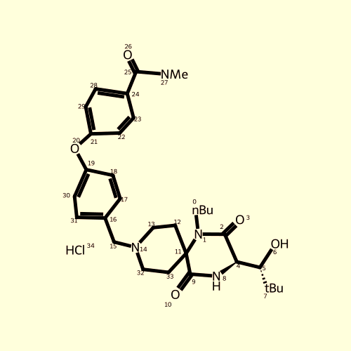 CCCCN1C(=O)[C@@H]([C@H](O)C(C)(C)C)NC(=O)C12CCN(Cc1ccc(Oc3ccc(C(=O)NC)cc3)cc1)CC2.Cl